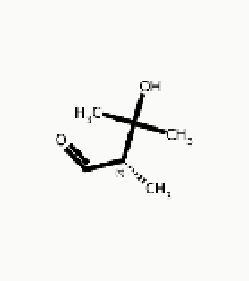 C[C@H](C=O)C(C)(C)O